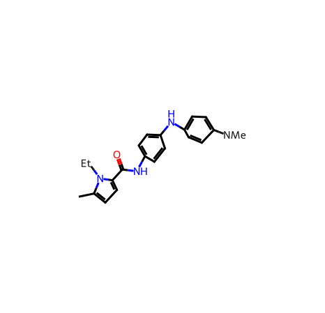 CCn1c(C)ccc1C(=O)Nc1ccc(Nc2ccc(NC)cc2)cc1